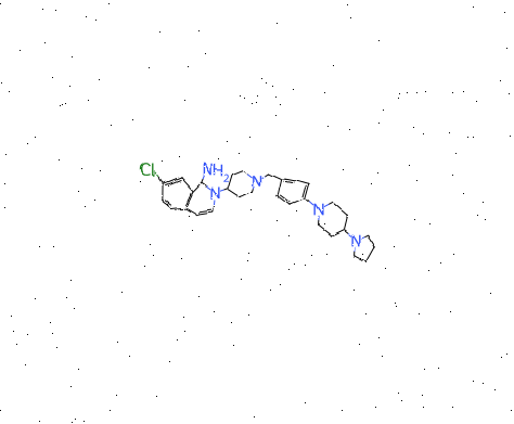 NC1c2cc(Cl)ccc2C=CN1C1CCN(Cc2ccc(N3CCC(N4CCCC4)CC3)cc2)CC1